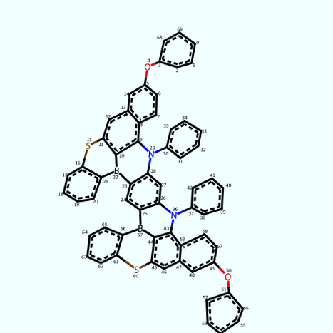 c1ccc(Oc2ccc3c4c5c(cc3c2)Sc2ccccc2B5c2cc3c(cc2N4c2ccccc2)N(c2ccccc2)c2c4c(cc5cc(Oc6ccccc6)ccc25)Sc2ccccc2B34)cc1